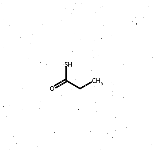 C[CH]C(=O)S